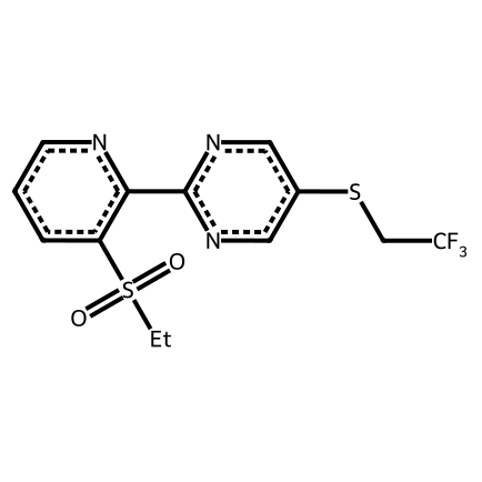 CCS(=O)(=O)c1cccnc1-c1ncc(SCC(F)(F)F)cn1